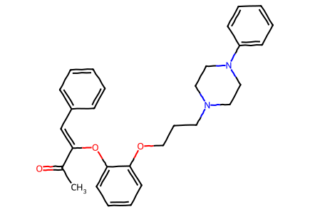 CC(=O)C(=Cc1ccccc1)Oc1ccccc1OCCCN1CCN(c2ccccc2)CC1